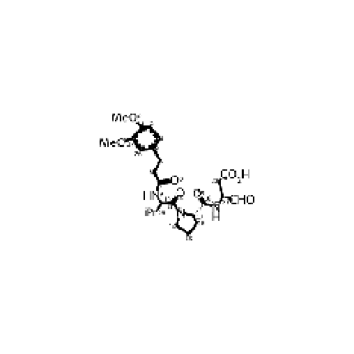 COc1ccc(CCC(=O)NC(C(=O)N2CCC[C@H]2C(=O)N[C@H](C=O)CC(=O)O)C(C)C)cc1OC